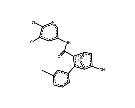 Cc1cc(-c2c(C(=O)Nc3cnc(Cl)c(Cl)c3)c3cc(O)c2o3)ccn1